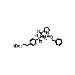 CCCCCCCCCCCCc1ccc(S(=O)(=O)NC(=O)[C@H]2CCCN2C(=O)OCc2ccccc2)cc1